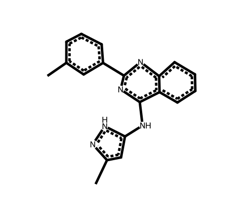 Cc1cccc(-c2nc(Nc3cc(C)n[nH]3)c3ccccc3n2)c1